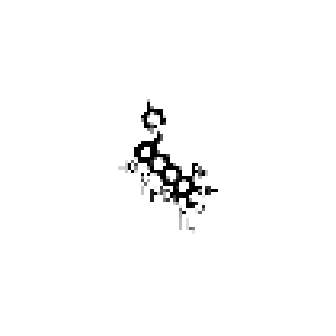 CC1CCN(Cc2ccc(O)c3c2CC2CC4C(C(O)=C2C3=O)C(C)(O)C(C(N)=O)=C(O)[C@H]4N(C)C)CC1